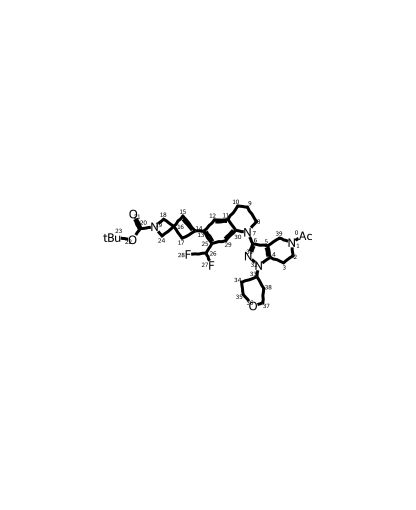 CC(=O)N1CCc2c(c(N3CCCc4cc(C5=CC6(C5)CN(C(=O)OC(C)(C)C)C6)c(C(F)F)cc43)nn2C2CCOCC2)C1